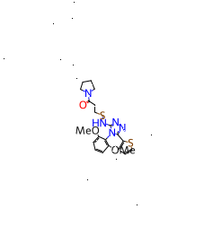 COc1cccc(OC)c1-n1c(NSCCC(=O)N2CCCC2)nnc1-c1cccs1